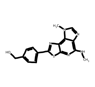 CNc1nc2sc(-c3ccc(CO)cc3)nc2c2c1ncn2C